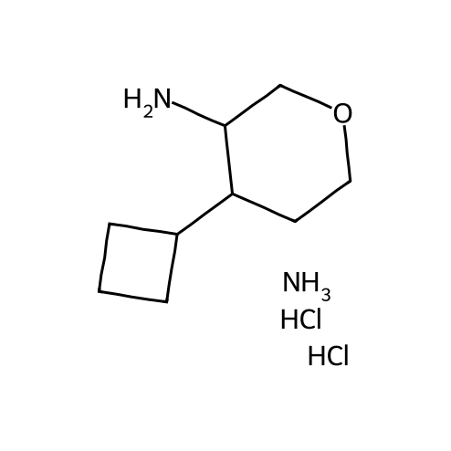 Cl.Cl.N.NC1COCCC1C1CCC1